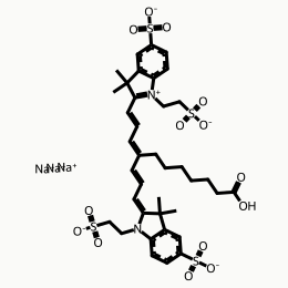 CC1(C)C(/C=C/C=C(/C=C/C=C2/N(CCS(=O)(=O)[O-])c3ccc(S(=O)(=O)[O-])cc3C2(C)C)CCCCCCC(=O)O)=[N+](CCS(=O)(=O)[O-])c2ccc(S(=O)(=O)[O-])cc21.[Na+].[Na+].[Na+]